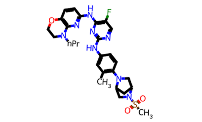 CCCN1CCOc2ccc(Nc3nc(Nc4ccc(N5CC6CC5CN6S(C)(=O)=O)c(C)c4)ncc3F)nc21